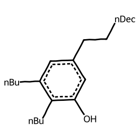 CCCCCCCCCCCCc1cc(O)c(CCCC)c(CCCC)c1